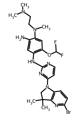 CN(C)CCN(C)c1cc(OC(F)F)c(Nc2nccc(N3CC(C)(C)c4nc(Br)ccc43)n2)cc1N